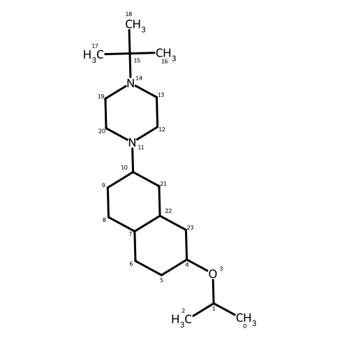 CC(C)OC1CCC2CCC(N3CCN(C(C)(C)C)CC3)CC2C1